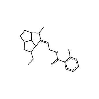 CCC1CC2CCC3C(C)/C(=C/CNC(=O)c4cccnc4F)C1C23